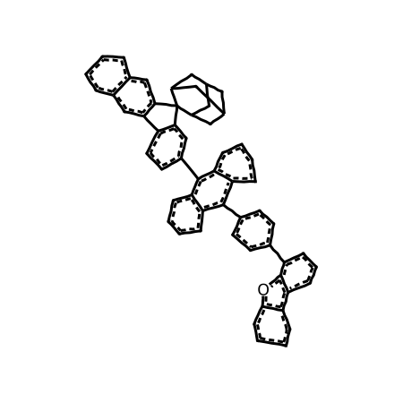 c1ccc2cc3c(cc2c1)-c1ccc(-c2c4ccccc4c(-c4ccc(-c5cccc6c5oc5ccccc56)cc4)c4ccccc24)cc1C31C2CC3CC(C2)CC1C3